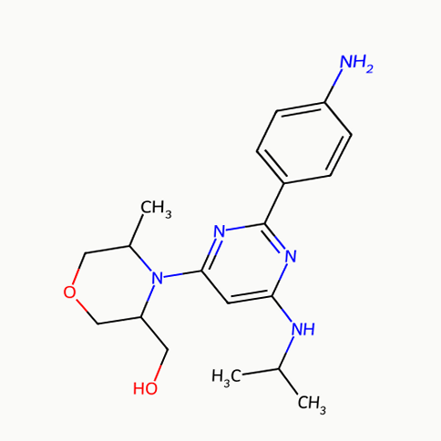 CC(C)Nc1cc(N2C(C)COCC2CO)nc(-c2ccc(N)cc2)n1